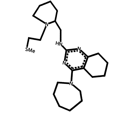 CSCCN1CCCCC1CNc1nc2c(c(N3CCCCCC3)n1)CCCC2